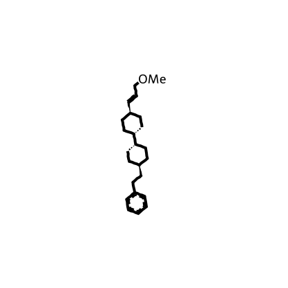 COCC=C[C@H]1CC[C@H]([C@H]2CC[C@H](CCc3ccccc3)CC2)CC1